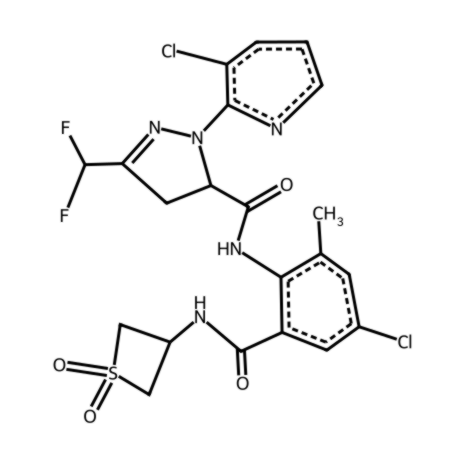 Cc1cc(Cl)cc(C(=O)NC2CS(=O)(=O)C2)c1NC(=O)C1CC(C(F)F)=NN1c1ncccc1Cl